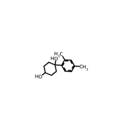 Cc1ccc(C2(O)CCC(O)CC2)c(C)c1